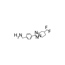 NCc1ccc(-c2nc3n(n2)CCC(C(F)F)C3)cc1